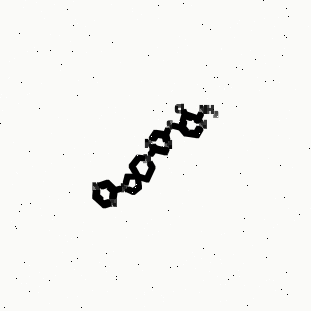 Nc1nccc(Sc2cnc(N3CCC4(CC3)CCN(c3cnccn3)C4)cn2)c1Cl